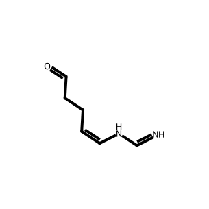 N=CN/C=C\CCC=O